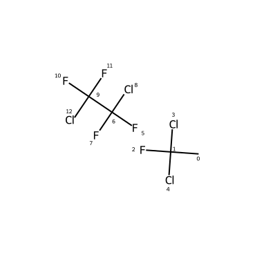 CC(F)(Cl)Cl.FC(F)(Cl)C(F)(F)Cl